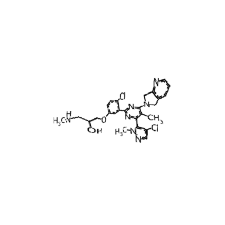 CNCC(O)COc1ccc(Cl)c(-c2nc(-c3c(Cl)cnn3C)c(C)c(N3Cc4cccnc4C3)n2)c1